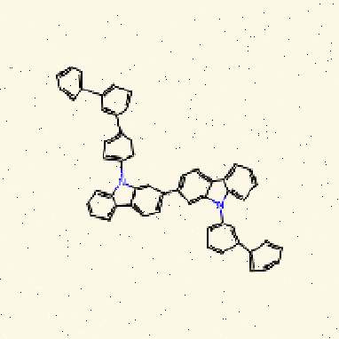 C1=C(c2cccc(-c3ccccc3)c2)CCC(n2c3ccccc3c3ccc(-c4ccc5c6ccccc6n(-c6cccc(-c7ccccc7)c6)c5c4)cc32)=C1